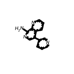 Nc1ncc(-c2cccnc2)c2cccnc12